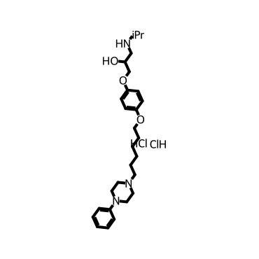 CC(C)NCC(O)COc1ccc(OCCCCCCN2CCN(c3ccccc3)CC2)cc1.Cl.Cl